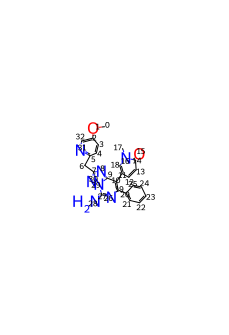 COc1ccc(Cc2nc3c(-c4ccc(=O)n(C)c4)c(-c4ccccc4)nc(N)n3n2)nc1